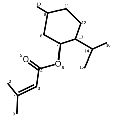 CC(C)=CC(=O)OC1CC(C)CCC1C(C)C